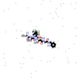 CCC[C@H](NC(=O)[C@@H]1[C@@H]2[C@H](CN1C(=O)[C@@H](NC(=O)NC(C)(C)C)C(C)(C)C)C2(Cl)Cl)C(=O)C(=O)NCC(=O)NCc1ccccc1